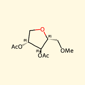 COC[C@H]1OC[C@@H](OC(C)=O)[C@@H]1OC(C)=O